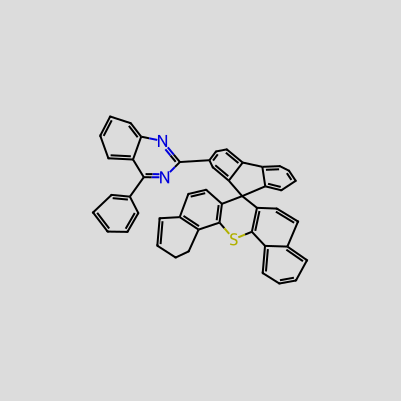 C1=Cc2ccc3c(c2CC1)Sc1c(ccc2ccccc12)C31c2ccccc2-c2ccc(-c3nc(-c4ccccc4)c4ccccc4n3)cc21